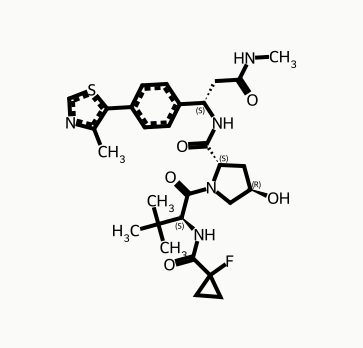 CNC(=O)C[C@H](NC(=O)[C@@H]1C[C@@H](O)CN1C(=O)[C@@H](NC(=O)C1(F)CC1)C(C)(C)C)c1ccc(-c2scnc2C)cc1